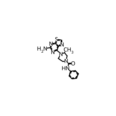 C[C@H]1CN(C(=O)Nc2ccccc2)CCN1c1nc(N)nc2scnc12